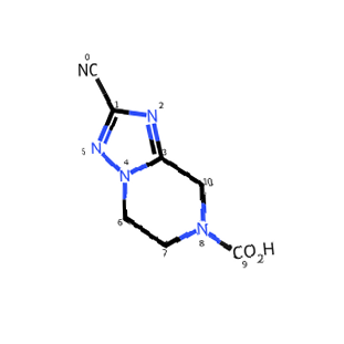 N#Cc1nc2n(n1)CCN(C(=O)O)C2